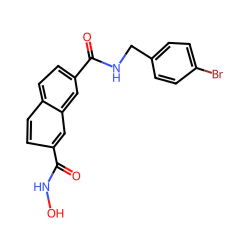 O=C(NO)c1ccc2ccc(C(=O)NCc3ccc(Br)cc3)cc2c1